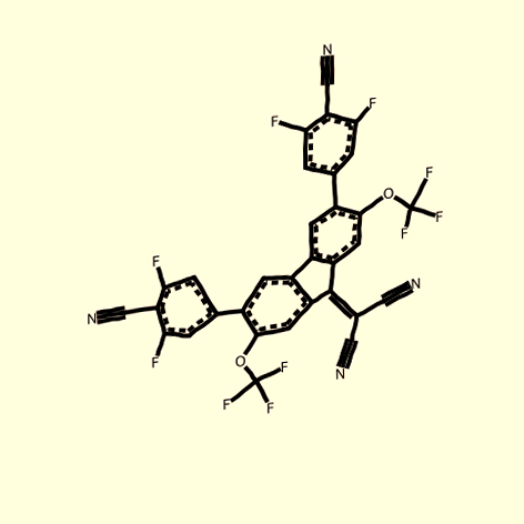 N#CC(C#N)=C1c2cc(OC(F)(F)F)c(-c3cc(F)c(C#N)c(F)c3)cc2-c2cc(-c3cc(F)c(C#N)c(F)c3)c(OC(F)(F)F)cc21